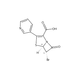 O=C(O)C1=C(c2cccnc2)S[C@@H]2[C@@H](Br)C(=O)N12